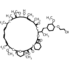 CO[C@H]1C[C@@H]2CC[C@@H](C)[C@@](O)(O2)C(=O)C(=O)N2CCCC[C@H]2C(=O)O[C@H]([C@H](C)C[C@@H]2CC[C@@H](OCCO)[C@H](OC)C2)CC(=O)[C@H](C)/C=C(\C)[C@@H](O)[C@@H](OC)C(=O)C(C)C[C@H](C)/C=C/C=C/C=C/1C